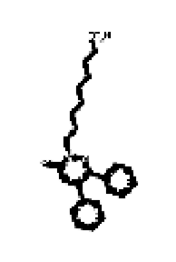 O=C(O)CCCCCCCCn1nc(-c2ccccc2)c(-c2ccccc2)cc1=O